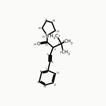 CC(C)(C)C(C#Cc1ccccc1)C(=O)N1CCCC1